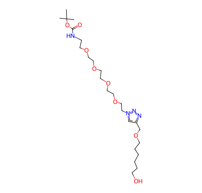 CC(C)(C)OC(=O)NCCOCCOCCOCCOCCn1cc(COCCCCCCO)nn1